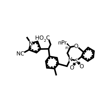 CCC[C@@H]1CN(Cc2cc(C(CC(=O)O)c3cc(C#N)n(C)c3)ccc2C)S(=O)(=O)c2ccccc2O1